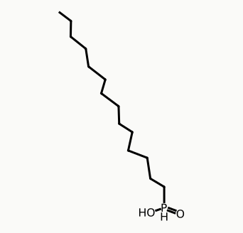 CCCCCCCCCCCCCC[PH](=O)O